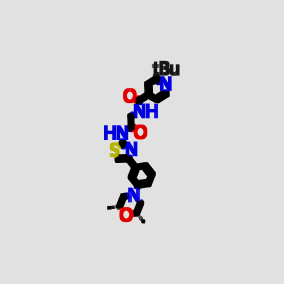 C[C@@H]1CN(c2cccc(-c3csc(NC(=O)CNC(=O)c4ccnc(C(C)(C)C)c4)n3)c2)C[C@H](C)O1